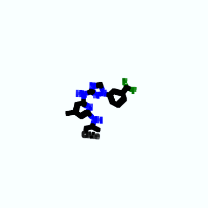 COCC(C)Nc1cc(C)cc(Nc2ncn(-c3cccc(C(F)F)c3)n2)n1